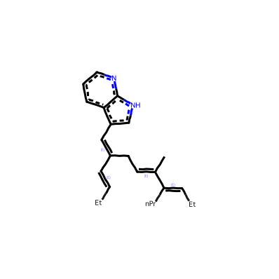 CC/C=C/C(=C/c1c[nH]c2ncccc12)C/C=C(C)/C(=C/CC)CCC